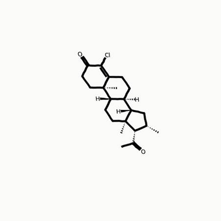 CC(=O)[C@H]1[C@@H](C)C[C@H]2[C@@H]3CCC4=C(Cl)C(=O)CC[C@]4(C)[C@H]3CC[C@@]21C